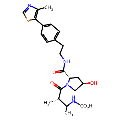 Cc1ncsc1-c1ccc(CCNC(=O)[C@@H]2C[C@@H](O)CN2C(=O)[C@@H](C)[C@H](C)NC(=O)O)cc1